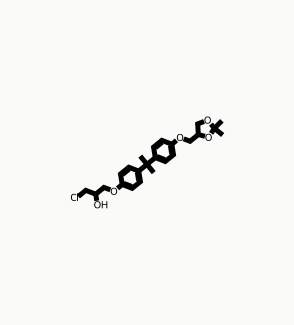 CC1(C)OCC(COc2ccc(C(C)(C)c3ccc(OCC(O)CCl)cc3)cc2)O1